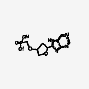 O=P(O)(O)COC1COC(c2nc3ncncc3[nH]2)C1